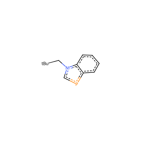 CC(C)(C)Cn1cpc2ccccc21